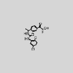 CC(NC(=O)Nc1cc(Cl)ccc1Cl)c1ccc(C(=O)NO)cc1